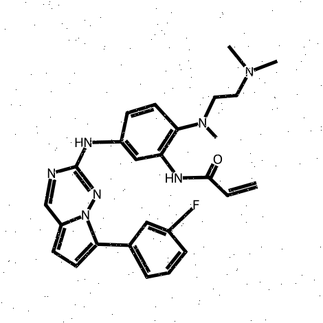 C=CC(=O)Nc1cc(Nc2ncc3ccc(-c4cccc(F)c4)n3n2)ccc1N(C)CCN(C)C